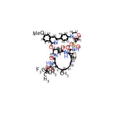 COc1ccc2c(O[C@@H]3C[C@H]4C(=O)N[C@]5(C(=O)NS(=O)(=O)C6CC6)C[C@H]5/C=C\CC[C@@H](C)C[C@@H](C)[C@H](NC(=O)OC(C)(C)C(F)(F)F)C(=O)N4C3)nc(-c3ccc(N4CCOCC4)cc3)cc2c1